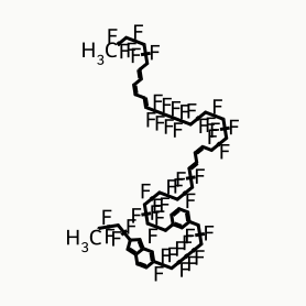 CCC(F)(F)CC(F)(F)C1C=c2ccc(C(F)(F)CC(F)(F)C(F)(F)C(F)(F)CC(F)(F)Cc3cccc(CC(F)(F)CC(F)(F)CC(F)(F)CC(F)(F)CC(F)(F)CC(F)(F)/C=C/C=C\CC(F)(F)CC(F)(F)CC(F)(F)CC(F)(F)CC(F)(F)C(F)(F)C(F)(F)C(F)(F)/C=C/C=C\C=C\CC(F)(F)CC(F)(F)CC(C)(F)F)c3)cc2=C1